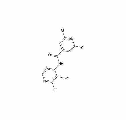 CCCc1c(Cl)ncnc1NC(=O)c1cc(Cl)nc(Cl)c1